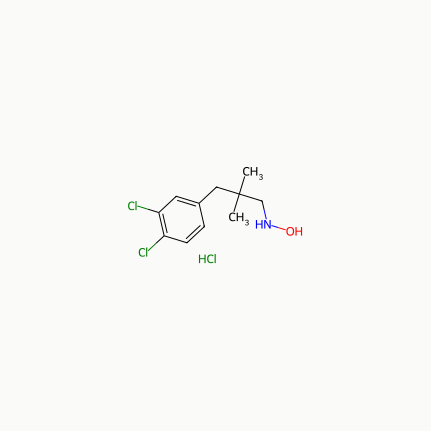 CC(C)(CNO)Cc1ccc(Cl)c(Cl)c1.Cl